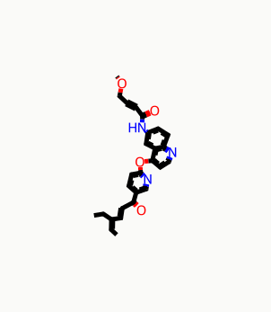 C/C=C(\C=CC(=O)c1ccc(Oc2ccnc3ccc(NC(=O)C#CCOC)cc23)nc1)CC